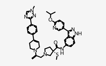 C=C(CN1CC[C@@](SC)(C(=O)Nc2ccc3[nH]nc(-c4ccc(OC(C)C)nc4)c3c2)C1)N1CC=C(c2ccc(-c3ncn(C)n3)cc2)CC1